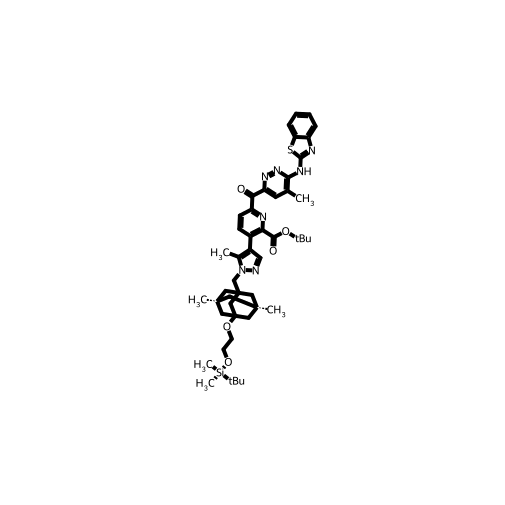 Cc1cc(C(=O)c2ccc(-c3cnn(CC45CC6(OCCO[Si](C)(C)C(C)(C)C)C[C@](C)(C4)C[C@](C)(C5)C6)c3C)c(C(=O)OC(C)(C)C)n2)nnc1Nc1nc2ccccc2s1